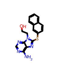 Nc1ncnc2c1nc(Sc1ccc3ccccc3c1)n2CCO